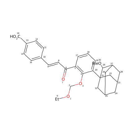 CCOCOc1c(C(=O)C=Cc2ccc(C(=O)O)cc2)cccc1C12CC3CC(CC(C3)C1OC)C2